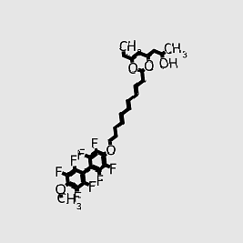 CCC1CC(CC(C)O)OC(CCCCCCCCCCOc2c(F)c(F)c(-c3c(F)c(F)c(OC)c(F)c3F)c(F)c2F)O1